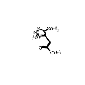 Nc1nn[nH]c1CC(=O)O